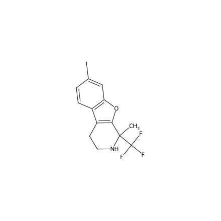 CC1(C(F)(F)F)NCCc2c1oc1cc(I)ccc21